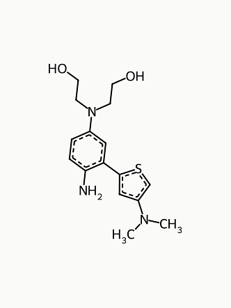 CN(C)c1csc(-c2cc(N(CCO)CCO)ccc2N)c1